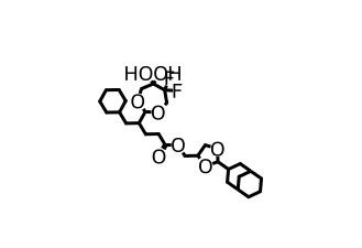 O=C(CCC(CC1CCCCC1)C1OCC(O)(O)C(F)(F)CO1)OCC1COC(C2CC3CCCC(C3)C2)O1